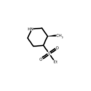 CCS(=O)(=O)C1CCNC[C@H]1C